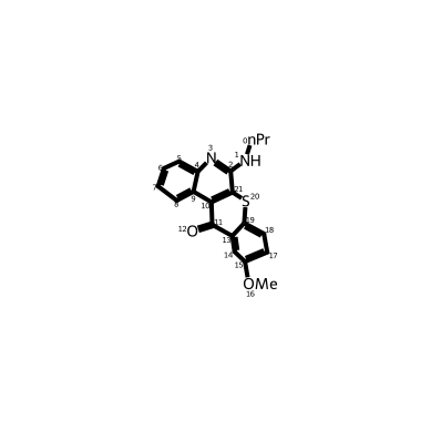 CCCNc1nc2ccccc2c2c(=O)c3cc(OC)ccc3sc12